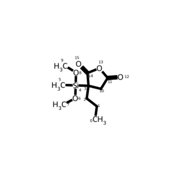 CCCC1([Si](C)(OC)OC)CC(=O)OC1=O